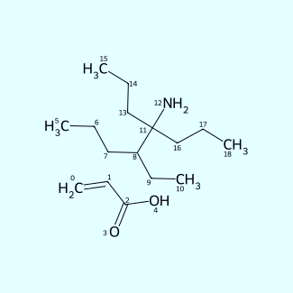 C=CC(=O)O.CCCC(CC)C(N)(CCC)CCC